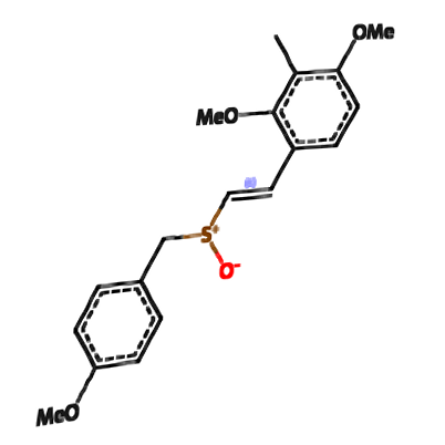 COc1ccc(C[S+]([O-])/C=C/c2ccc(OC)c(C)c2OC)cc1